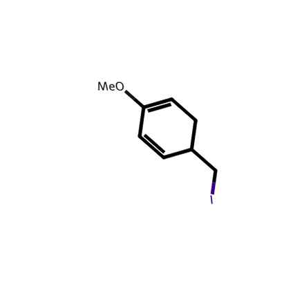 COC1=CCC(CI)C=C1